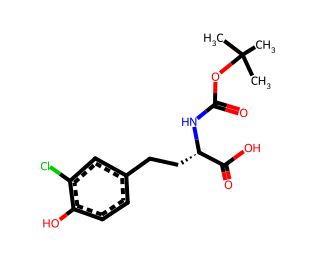 CC(C)(C)OC(=O)N[C@@H](CCc1ccc(O)c(Cl)c1)C(=O)O